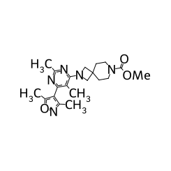 COC(=O)N1CCC2(CC1)CN(c1nc(C)nc(-c3c(C)noc3C)c1C)C2